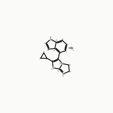 Br.c1cc(C2=C(C3CC3)SC3=NCCN32)c2ccsc2c1